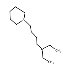 CCN(CC)CCC[CH2][Al]1[CH2]CCC[CH2]1